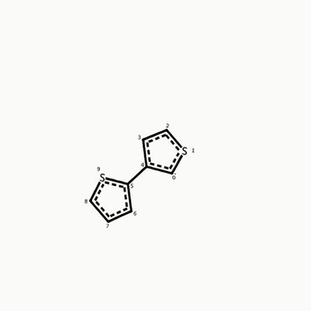 [c]1sccc1-c1cccs1